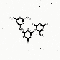 Nc1nc(=O)[nH]c(=O)[nH]1.Nc1nc(N)[nH]c(=O)n1.Nc1nc(N)nc(N)n1